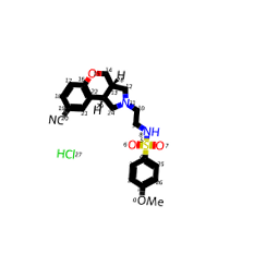 COc1ccc(S(=O)(=O)NCCN2C[C@H]3COc4ccc(C#N)cc4[C@@H]3C2)cc1.Cl